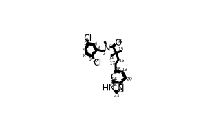 CN(Cc1cc(Cl)ccc1Cl)C(=O)C(C)(C)CCc1ccc2nc[nH]c2c1